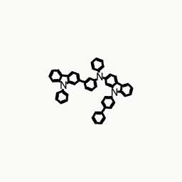 c1ccc(-c2ccc(-n3c4ccccc4c4ccc(N(c5ccccc5)c5cccc(-c6ccc7c8ccccc8n(-c8ccccc8)c7c6)c5)cc43)cc2)cc1